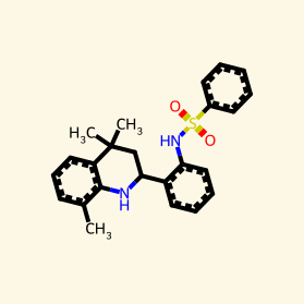 Cc1cccc2c1NC(c1ccccc1NS(=O)(=O)c1ccccc1)CC2(C)C